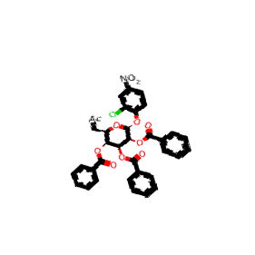 CC(=O)C[C@H]1O[C@H](Oc2ccc([N+](=O)[O-])cc2Cl)[C@H](OC(=O)c2ccccc2)[C@@H](OC(=O)c2ccccc2)[C@@H]1OC(=O)c1ccccc1